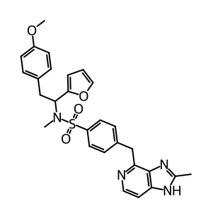 COc1ccc(CC(c2ccco2)N(C)S(=O)(=O)c2ccc(Cc3nccc4[nH]c(C)nc34)cc2)cc1